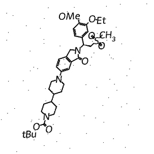 CCOc1cc([C@@H](CS(C)(=O)=O)N2Cc3ccc(N4CCC(C5CCN(C(=O)OC(C)(C)C)CC5)CC4)cc3C2=O)ccc1OC